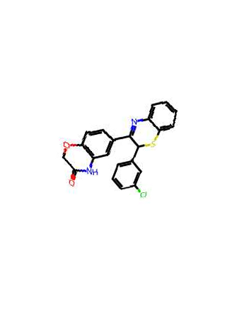 O=C1COc2ccc(C3=Nc4ccccc4SC3c3cccc(Cl)c3)cc2N1